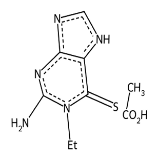 CC(=O)O.CCn1c(N)nc2nc[nH]c2c1=S